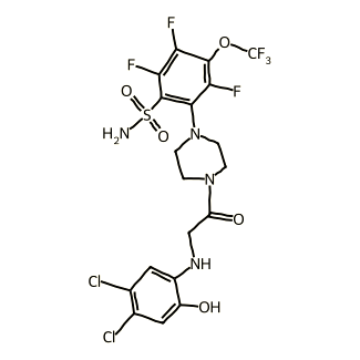 NS(=O)(=O)c1c(F)c(F)c(OC(F)(F)F)c(F)c1N1CCN(C(=O)CNc2cc(Cl)c(Cl)cc2O)CC1